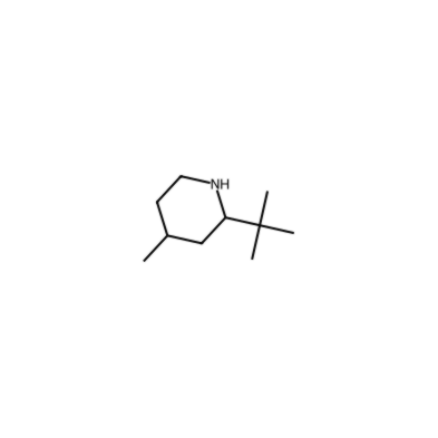 CC1CCNC(C(C)(C)C)C1